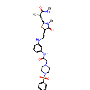 CCNC(=O)C(=C=c1sc(=C=CNc2cccc(NC(=O)CN3CCN(S(=O)(=O)c4ccccc4)CC3)c2)c(=O)n1CC)C#N